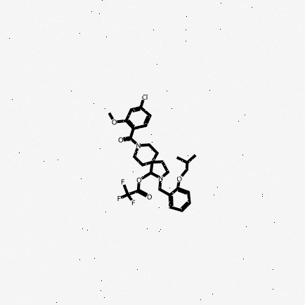 COc1cc(Cl)ccc1C(=O)N1CCC2(CC1)CCN(Cc1ccccc1OCC(C)C)C2OC(=O)C(F)(F)F